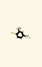 CC(C)c1cc(C(F)(F)F)ccc1F